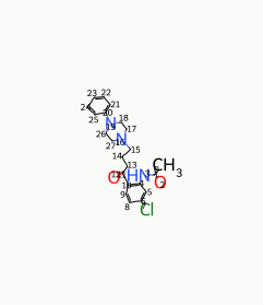 CC(=O)Nc1cc(Cl)ccc1C(=O)CCCN1CCN(c2ccccc2)CC1